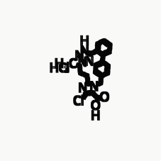 CCCCc1nc(Cl)c(C(=O)O)n1Cc1ccc(-c2ccccc2-c2nnn[nH]2)cc1.Cl